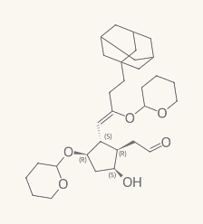 O=CC[C@@H]1[C@@H](C=C(CCC23CC4CC(CC(C4)C2)C3)OC2CCCCO2)[C@H](OC2CCCCO2)C[C@@H]1O